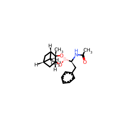 CC(=O)N[C@@H](Cc1ccccc1)B1O[C@@H]2C[C@@H]3C[C@@H](C3(C)C)[C@]2(C)O1